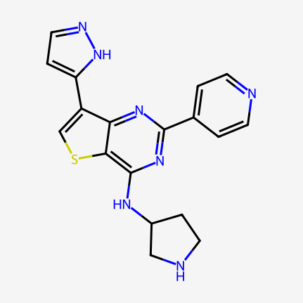 c1cc(-c2nc(NC3CCNC3)c3scc(-c4ccn[nH]4)c3n2)ccn1